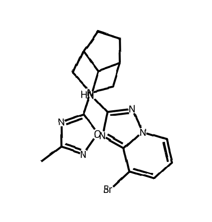 Cc1noc(N2CC3CCC(C2)C3Nc2nc3c(Br)cccn3n2)n1